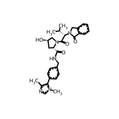 Cc1ncn(C)c1-c1ccc(CNC(=O)[C@@H]2C[C@@H](O)CN2C(=O)[C@H](C(C)C)N2Cc3ccccc3C2=O)cc1